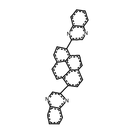 c1ccc2nc(-c3ccc4ccc5c(-c6cnc7ccccc7n6)ccc6ccc3c4c65)cnc2c1